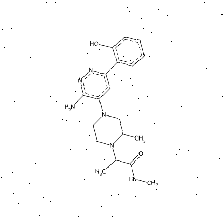 CNC(=O)C(C)N1CCN(c2cc(-c3ccccc3O)nnc2N)CC1C